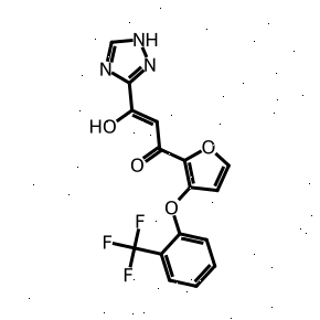 O=C(C=C(O)c1nc[nH]n1)c1occc1Oc1ccccc1C(F)(F)F